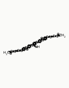 C=CC(=O)OCCOCCOCCOc1ccc(OC(=O)C2CCC(COc3ccc(OCC4CCC(C(=O)Oc5ccc(OCCOCCOCCOC(=O)C=C)cc5)CC4)c(C=N)c3)CC2)cc1